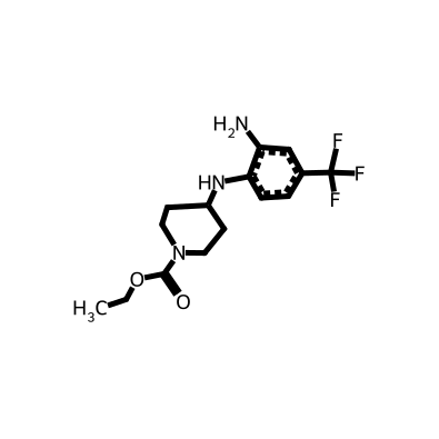 CCOC(=O)N1CCC(Nc2ccc(C(F)(F)F)cc2N)CC1